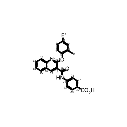 Cc1cc(F)ccc1Oc1nc2ccccc2cc1C(=O)Nc1ccc(C(=O)O)cc1